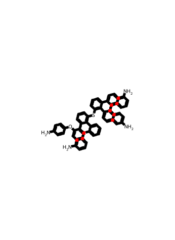 Nc1ccc(Oc2ccccc2-c2cccc(Sc3cccc(-c4ccccc4Oc4ccc(N)cc4)c3-c3ccccc3Oc3cccc(N)c3)c2-c2ccccc2Oc2cccc(N)c2)cc1